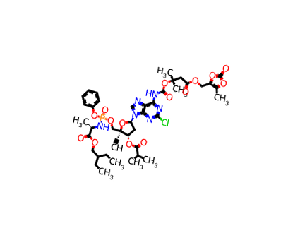 C#C[C@]1(CO[P@@](=O)(N[C@@H](C)C(=O)OCC(CC)CC)Oc2ccccc2)O[C@@H](n2cnc3c(NC(=O)OC(C)(C)CC(=O)OCc4oc(=O)oc4C)nc(Cl)nc32)C[C@@H]1OC(=O)C(C)C